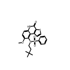 COc1ccc2[nH]c(=O)c3sccc3c2c1N(CCC(C)(C)C)S(=O)(=O)c1ccccc1